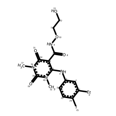 CCc1cc(Nc2c(C(=O)NOCCO)c(=O)n(C)c(=O)n2C)ccc1I